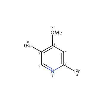 COc1cc(C(C)C)ncc1C(C)(C)C